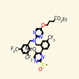 CCOC(=O)CCCOc1cnc(N(Cc2cc(C(F)(F)F)cc(C(F)(F)F)c2)Cc2cc(C(F)(F)F)ccc2-c2nc([S+](C)[O-])ncc2OC)nc1